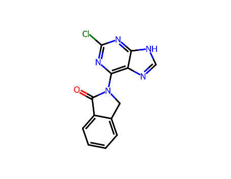 O=C1c2ccccc2CN1c1nc(Cl)nc2[nH]cnc12